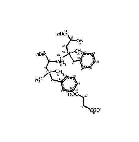 CCCCCCCCCCC(O)C[N+](C)(C)Cc1ccccc1.CCCCCCCCCCC(O)C[N+](C)(C)Cc1ccccc1.O=C([O-])CCC(=O)[O-]